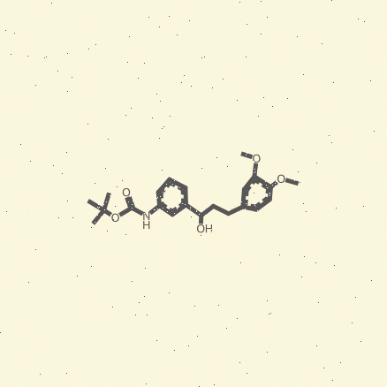 COc1ccc(CCC(O)c2cccc(NC(=O)OC(C)(C)C)c2)cc1OC